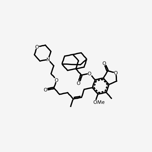 COc1c(C)c2c(c(OC(=O)C34CC5CC(CC(C5)C3)C4)c1CC=C(C)CCC(=O)OCCN1CCOCC1)C(=O)OC2